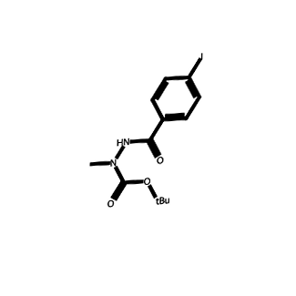 CN(NC(=O)c1ccc(I)cc1)C(=O)OC(C)(C)C